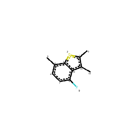 Cc1sc2c(C)ccc(F)c2c1C